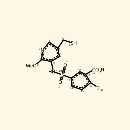 COc1ncc(CS)cc1NS(=O)(=O)c1ccc(Cl)c(C(=O)O)c1